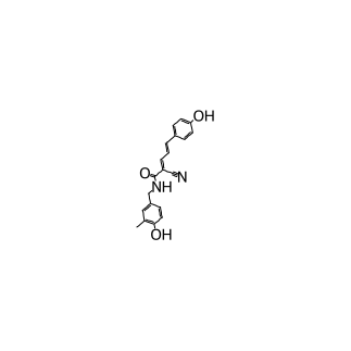 Cc1cc(CNC(=O)/C(C#N)=C/C=C/c2ccc(O)cc2)ccc1O